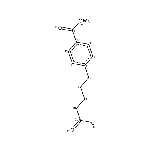 COC(=O)c1ccc(CCCCC(=O)Cl)cc1